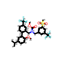 COC(=O)N(Cc1cc(C(F)(F)F)cc(S(C)(=O)=O)c1)Cc1cc(C(F)(F)F)ccc1-c1cc(C(C)C)ccc1OC